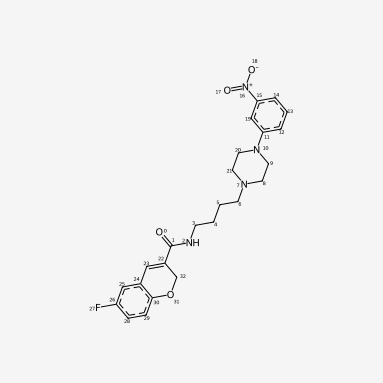 O=C(NCCCCN1CCN(c2cccc([N+](=O)[O-])c2)CC1)C1=Cc2cc(F)ccc2OC1